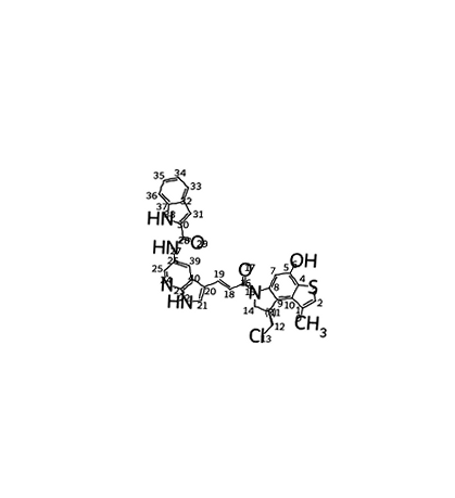 Cc1csc2c(O)cc3c(c12)[C@@H](CCl)CN3C(=O)C=Cc1c[nH]c2ncc(NC(=O)c3cc4ccccc4[nH]3)cc12